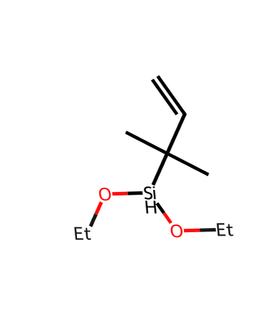 C=CC(C)(C)[SiH](OCC)OCC